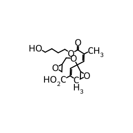 CC(=CC(C=C(C)C(=O)OCCCCO)(OCC1CO1)C1CO1)C(=O)O